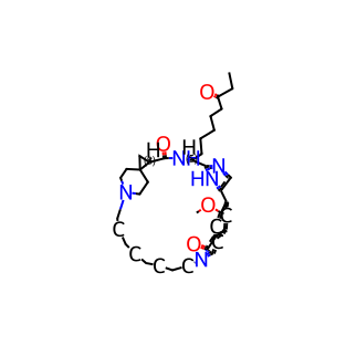 CCC(=O)CCCCC[C@@H]1NC(=O)[C@H]2CC23CCN(CCCCCCCCn2ccc4cc(c(OC)cc4c2=O)-c2cnc1[nH]2)CC3